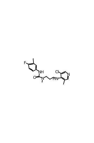 Cc1cc(NC(=O)N(C)CCCNc2c(C)cncc2Cl)ccc1F